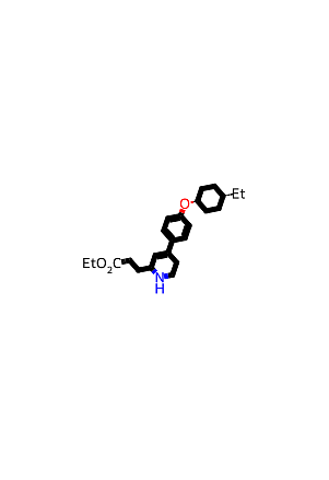 CCOC(=O)CCC1C=C(c2ccc(O[C@H]3CC[C@@H](CC)CC3)cc2)CCN1